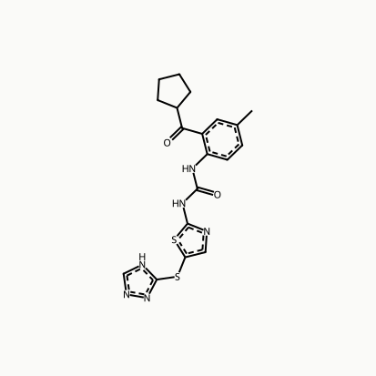 Cc1ccc(NC(=O)Nc2ncc(Sc3nnc[nH]3)s2)c(C(=O)C2CCCC2)c1